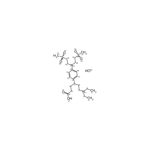 CCN(CC)CCC(CCC(=O)O)c1ccc(N(CCS(C)(=O)=O)CCS(C)(=O)=O)cc1.Cl